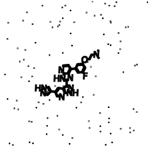 CN(C)CCOc1cc(F)cc(-c2ccnc3[nH]c(-c4n[nH]c5ncc(-c6cn[nH]c6)cc45)nc23)c1